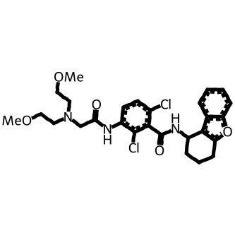 COCCN(CCOC)CC(=O)Nc1ccc(Cl)c(C(=O)NC2CCCc3oc4ccccc4c32)c1Cl